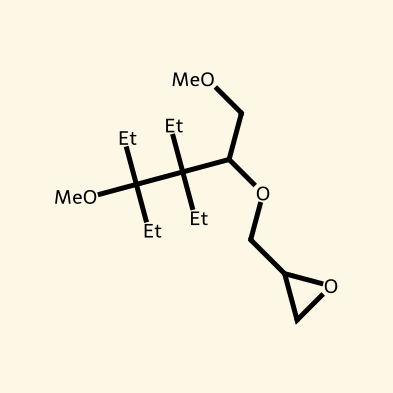 CCC(CC)(OC)C(CC)(CC)C(COC)OCC1CO1